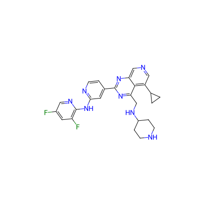 Fc1cnc(Nc2cc(-c3nc(CNC4CCNCC4)c4c(C5CC5)cncc4n3)ccn2)c(F)c1